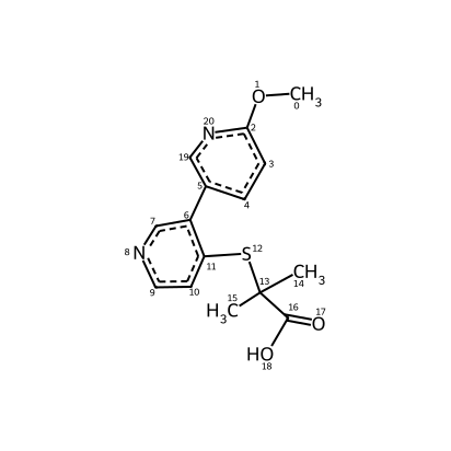 COc1ccc(-c2cnccc2SC(C)(C)C(=O)O)cn1